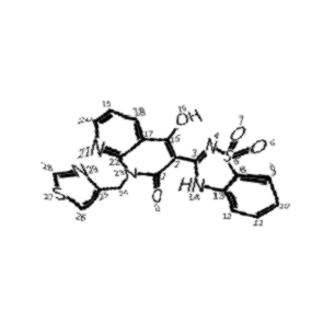 O=c1c(C2=NS(=O)(=O)c3ccccc3N2)c(O)c2cccnc2n1Cc1cscn1